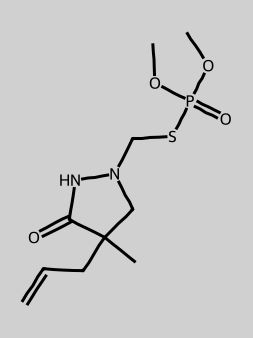 C=CCC1(C)CN(CSP(=O)(OC)OC)NC1=O